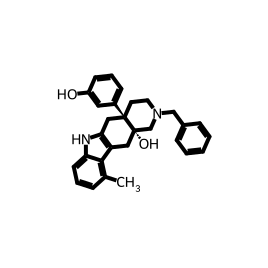 Cc1cccc2[nH]c3c(c12)C[C@]1(O)CN(Cc2ccccc2)CC[C@@]1(c1cccc(O)c1)C3